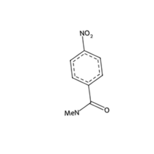 [CH2]NC(=O)c1ccc([N+](=O)[O-])cc1